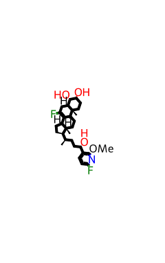 COc1nc(F)ccc1[C@@H](O)CC[C@@H](C)[C@H]1CC[C@H]2C3=C(F)C[C@H]4[C@@H](O)[C@@H](O)CC[C@]4(C)[C@H]3CC[C@]12C